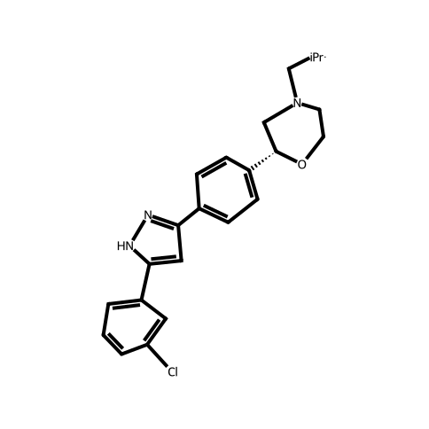 C[C](C)CN1CCO[C@H](c2ccc(-c3cc(-c4cccc(Cl)c4)[nH]n3)cc2)C1